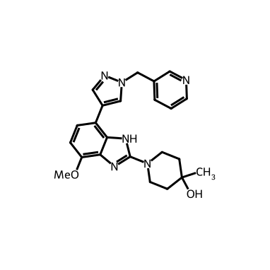 COc1ccc(-c2cnn(Cc3cccnc3)c2)c2[nH]c(N3CCC(C)(O)CC3)nc12